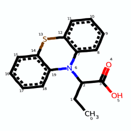 CCC(C(=O)O)N1c2ccccc2Sc2ccccc21